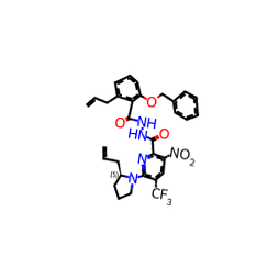 C=CCc1cccc(OCc2ccccc2)c1C(=O)NNC(=O)c1nc(N2CCC[C@H]2CC=C)c(C(F)(F)F)cc1[N+](=O)[O-]